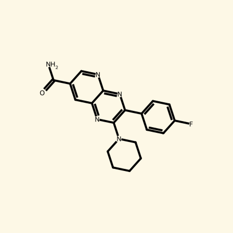 NC(=O)c1cnc2nc(-c3ccc(F)cc3)c(N3CCCCC3)nc2c1